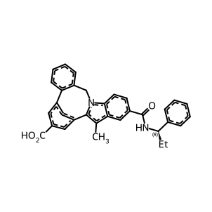 CC[C@@H](NC(=O)c1ccc2c(c1)c(C)c1n2Cc2ccccc2-c2cc(C(=O)O)cc-1c2)c1ccccc1